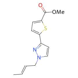 CC=CCn1ccc(-c2ccc(C(=O)OC)s2)n1